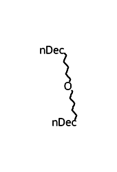 CCCCCCCCCCCCCCCOCCCCCCCCCCCCCCC